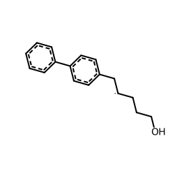 OCCC[CH]Cc1ccc(-c2ccccc2)cc1